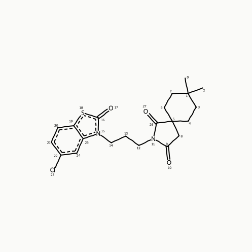 CC1(C)CCC2(CC1)CC(=O)N(CCCn1c(=O)sc3ccc(Cl)cc31)C2=O